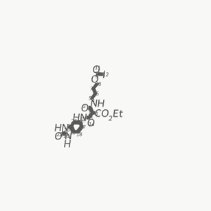 CCOC(=O)C(C(=O)NCCCCOC(=O)I)C(=O)Nc1ccc2[nH]c(=O)[nH]c2c1